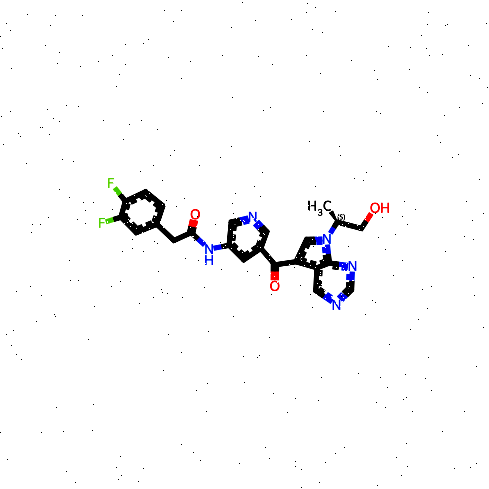 C[C@@H](CO)n1cc(C(=O)c2cncc(NC(=O)Cc3ccc(F)c(F)c3)c2)c2cncnc21